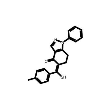 Cc1ccc(C(S)=C2CCc3c(cnn3-c3ccccc3)C2=O)cc1